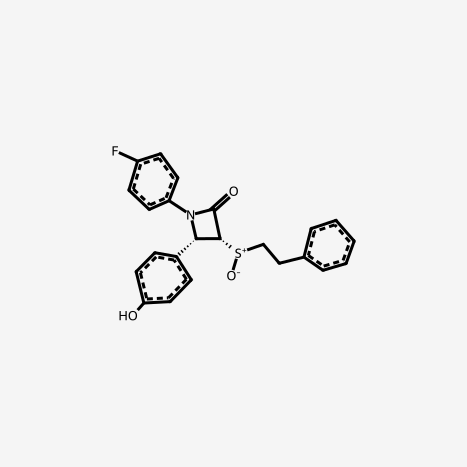 O=C1[C@H]([S+]([O-])CCc2ccccc2)[C@H](c2ccc(O)cc2)N1c1ccc(F)cc1